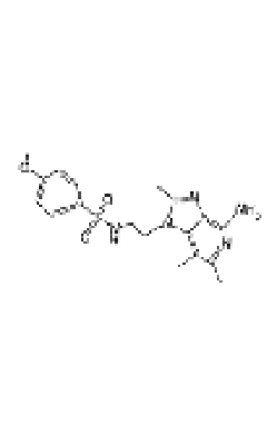 COc1ccc(S(=O)(=O)NCCn2c(C)nc3c(N)nc(C)c(C)c32)cc1